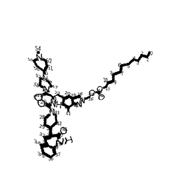 CCCCCCCCCCCCOC(=O)OCn1cc2cc(C[C@@H](NC(=O)N3CCC(c4cc5ccccc5[nH]c4=O)CC3)C(=O)N3CCN(C4CCN(C)CC4)CC3)cc(C)c2n1